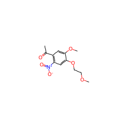 COCCOc1cc([N+](=O)[O-])c(C(C)=O)cc1OC